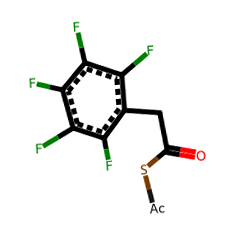 CC(=O)SC(=O)Cc1c(F)c(F)c(F)c(F)c1F